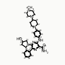 CN1CCN(C2CCN(c3ccc(Nc4nc(N5CCC(O)C5)c(-c5ccccc5)nc4C(N)=O)cc3)CC2)CC1